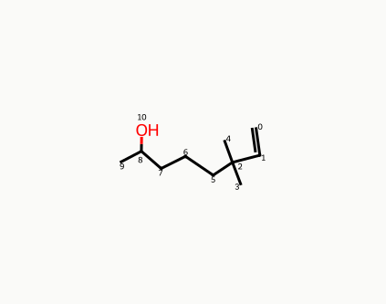 C=CC(C)(C)CCCC(C)O